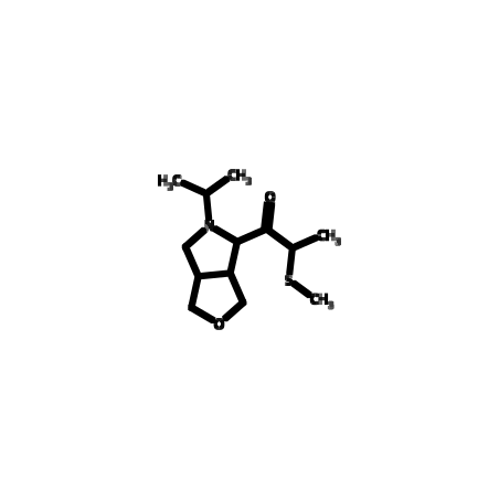 CSC(C)C(=O)C1C2COCC2CN1C(C)C